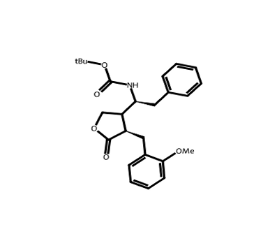 COc1ccccc1C[C@H]1C(=O)OCC1[C@H](Cc1ccccc1)NC(=O)OC(C)(C)C